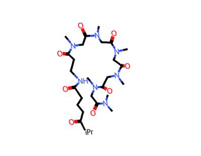 CC(C)C(=O)CCCC(=O)NCCC(=O)N(C)CC(=O)N(C)CC(=O)N(C)CC(=O)N(C)CC(=O)N(C)CC(=O)N(C)C